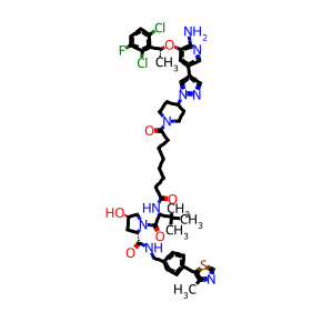 Cc1ncsc1-c1ccc(CNC(=O)[C@@H]2C[C@@H](O)CN2C(=O)C(NC(=O)CCCCCCC(=O)N2CCC(n3cc(-c4cnc(N)c(O[C@H](C)c5c(Cl)ccc(F)c5Cl)c4)cn3)CC2)C(C)(C)C)cc1